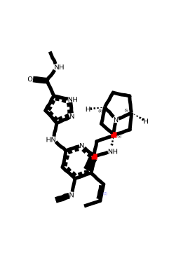 C=Nc1cc(Nc2cc(C(=O)NC)[nH]n2)nc(N[C@@H]2C[C@H]3CC[C@@H](C2)N3CCC#N)c1/C=C\C